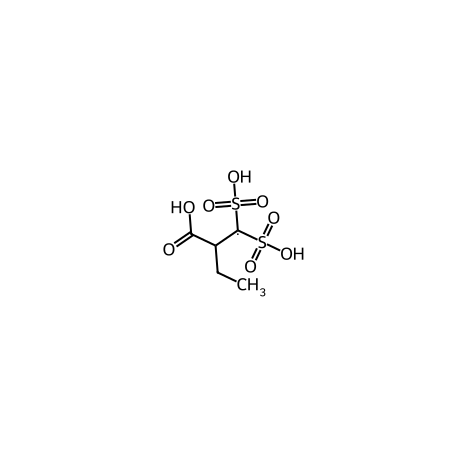 CCC([C](S(=O)(=O)O)S(=O)(=O)O)C(=O)O